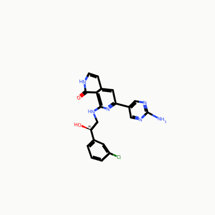 Nc1ncc(-c2cc3cc[nH]c(=O)c3c(NC[C@H](O)c3cccc(Cl)c3)n2)cn1